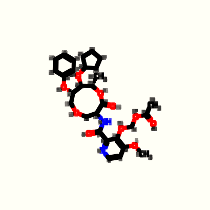 COc1ccnc(C(=O)N[C@H]2COC[C@H](Oc3ccccc3)[C@@H](OC3CCCC3)[C@H](C)OC2=O)c1OCOC(C)=O